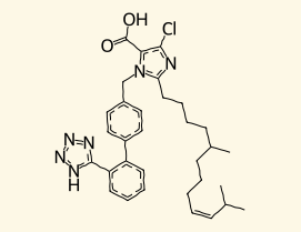 CC(C)/C=C\CCCC(C)CCCCc1nc(Cl)c(C(=O)O)n1Cc1ccc(-c2ccccc2-c2nnn[nH]2)cc1